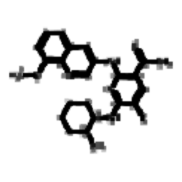 COc1cccc2cc(Nc3nc(N[C@@H]4CCCC[C@@H]4N)c(F)cc3C(N)=O)cnc12